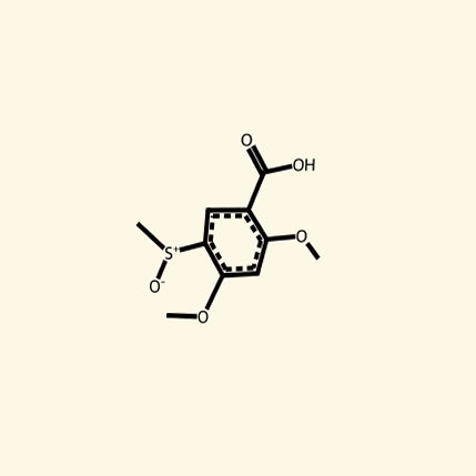 COc1cc(OC)c([S+](C)[O-])cc1C(=O)O